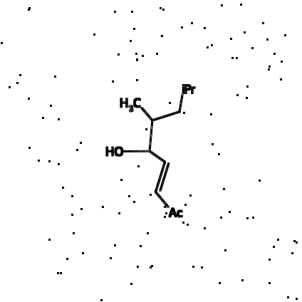 CC(=O)C=CC(O)C(C)CC(C)C